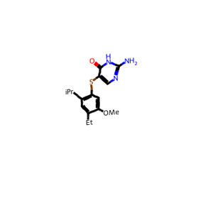 CCc1cc(C(C)C)c(Sc2cnc(N)[nH]c2=O)cc1OC